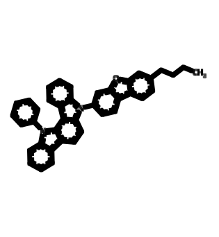 CCCCc1ccc2c(c1)oc1cc(-n3c4ccccc4c4c3ccc3c5ccccc5n(-c5ccccc5)c34)ccc12